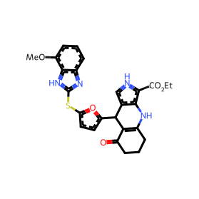 CCOC(=O)c1[nH]cc2c1NC1=C(C(=O)CCC1)C2c1ccc(Sc2nc3cccc(OC)c3[nH]2)o1